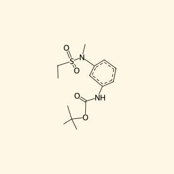 CCS(=O)(=O)N(C)c1cccc(NC(=O)OC(C)(C)C)c1